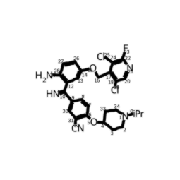 CC(C)N1CCC(Oc2ccc(C(=N)c3cc(OCc4c(Cl)cnc(F)c4Cl)ccc3N)cc2C#N)CC1